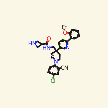 CCOc1ccccc1-c1ccc(C2(CNC(=O)C3CNC3)CCN(c3ccc(Cl)cc3C#N)CC2)cn1